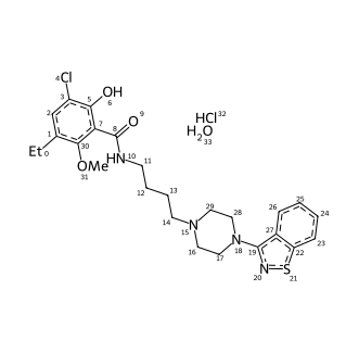 CCc1cc(Cl)c(O)c(C(=O)NCCCCN2CCN(c3nsc4ccccc34)CC2)c1OC.Cl.O